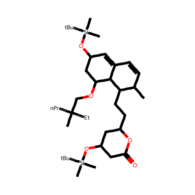 CCCC(C)(CC)COC1CC(O[Si](C)(C)C(C)(C)C)C=C2C=CC(C)C(CCC3CC(O[Si](C)(C)C(C)(C)C)CC(=O)O3)C21